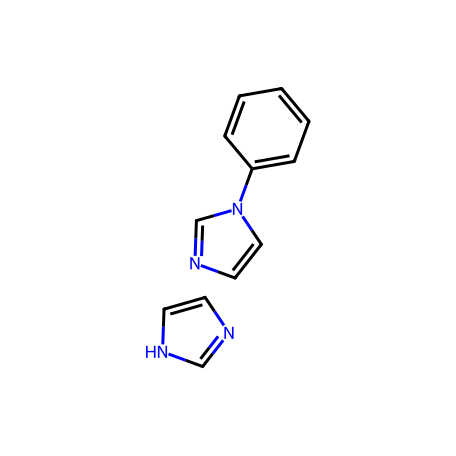 c1c[nH]cn1.c1ccc(-n2ccnc2)cc1